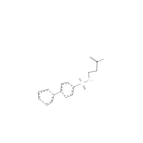 C=C(C)CCNS(=O)(=O)c1ccc(-c2ccccc2)cc1